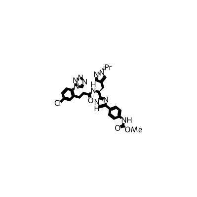 COC(=O)Nc1ccc(-c2c[nH]c([C@H](Cc3cnn(C(C)C)c3)NC(=O)CCc3cc(Cl)ccc3-n3cnnn3)n2)cc1